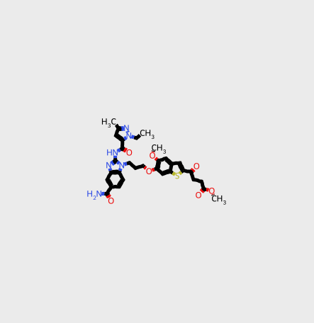 CCn1nc(C)cc1C(=O)Nc1nc2cc(C(N)=O)ccc2n1CCCOc1cc2sc(C(=O)CCC(=O)OC)cc2cc1OC